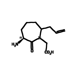 C=CCC1CCC[C@H](N)C(=O)N1CC(=O)O